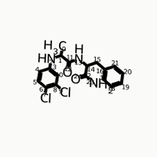 CC(Nc1ccc(Cl)c(Cl)c1)C(=O)NC(Cc1ccccc1)C(N)=O